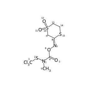 CN(SC(Cl)(Cl)Cl)C(=O)ON=C1CS(=O)(=O)CCS1